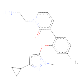 Cn1nc(C2CC2)cc1Oc1cc(C#N)ccc1-c1cccn(CCN)c1=O